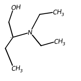 CC[C](CO)N(CC)CC